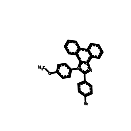 COc1ccc(-n2c(-c3ccc(Br)cc3)nc3c4ccccc4c4ccccc4c32)cc1